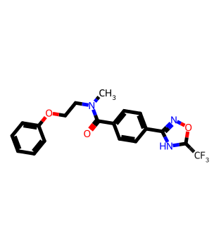 CN(CCOc1ccccc1)C(=O)c1ccc(C2=NOC(C(F)(F)F)N2)cc1